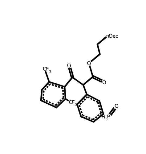 CCCCCCCCCCCCOC(=O)C(C(=O)c1c(C(F)(F)F)cccc1C(F)(F)F)c1ccccc1.O=[PH3]